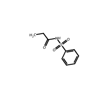 [CH2]CC(=O)NS(=O)(=O)c1ccccc1